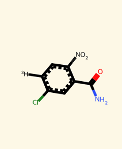 [3H]c1cc([N+](=O)[O-])c(C(N)=O)cc1Cl